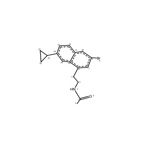 CC(=O)NCCc1cc(Br)cc2ccc(C3CC3)cc12